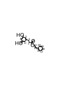 O=C(CCc1cc(O)cc(O)c1)OC=Cc1ccccc1